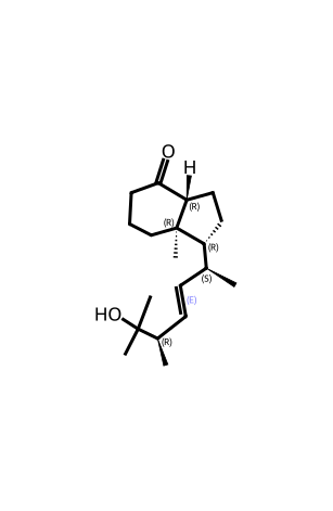 C[C@H](/C=C/[C@H](C)[C@H]1CC[C@H]2C(=O)CCC[C@]12C)C(C)(C)O